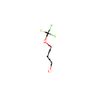 [O]CCCOC(F)(F)F